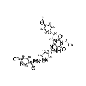 CCCn1c(=O)c2[nH]c(-c3ccc(NCC(=O)c4ccc(Cl)nc4)nc3)nc2n(CCc2ccc(OC)cc2)c1=O